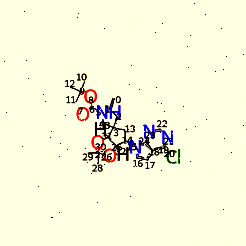 C=CC[C@@]1(CNC(=O)OC(C)(C)C)C[C@@H](n2ccc3c(Cl)ncnc32)[C@@H]2OC(C)(C)O[C@@H]21